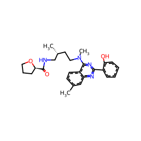 Cc1ccc2c(N(C)CC[C@@H](C)CNC(=O)[C@H]3CCCO3)nc(-c3ccccc3O)nc2c1